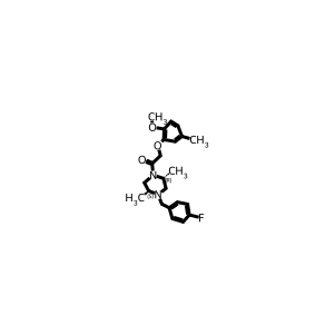 COc1ccc(C)cc1OCC(=O)N1C[C@H](C)N(Cc2ccc(F)cc2)C[C@H]1C